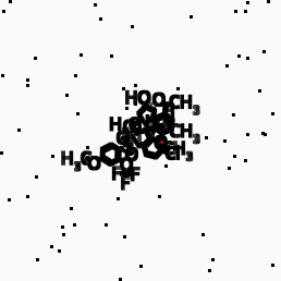 CNC(=O)[C@@H]1C[C@@H](O)C[N+]1(C)C1(c2cc(C(C)=O)ccc2OC)C(=O)N(S(=O)(=O)c2ccc(OC)cc2OC(F)(F)F)c2ccc(Cl)cc21